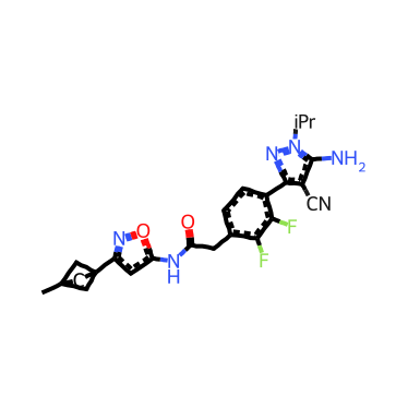 CC(C)n1nc(-c2ccc(CC(=O)Nc3cc(C45CC(C)(C4)C5)no3)c(F)c2F)c(C#N)c1N